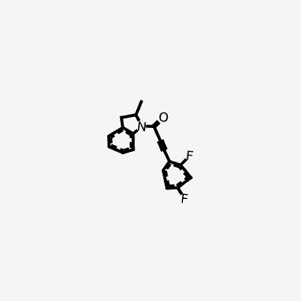 CC1Cc2ccccc2N1C(=O)C#Cc1ccc(F)cc1F